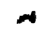 C=N/C=C\c1ccnc(N2CC[N+]([O-])(CC(O)CNc3nc(=O)oc4ccc(F)cc34)CC2)c1C